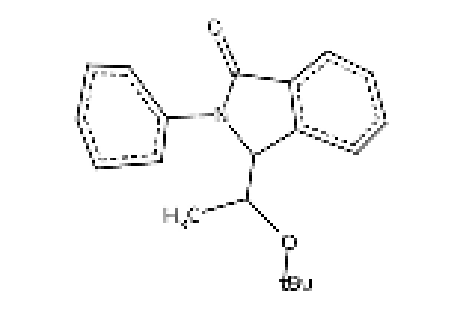 CC(OC(C)(C)C)C1c2ccccc2C(=O)N1c1ccccc1